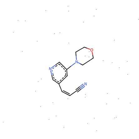 N#C/C=C\c1cncc(N2CCOCC2)c1